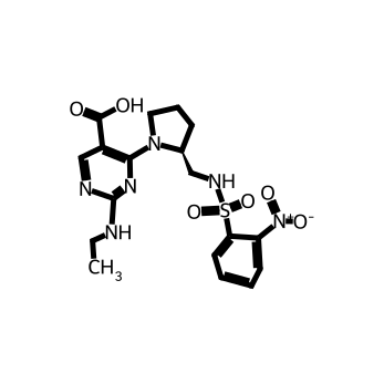 CCNc1ncc(C(=O)O)c(N2CCC[C@H]2CNS(=O)(=O)c2ccccc2[N+](=O)[O-])n1